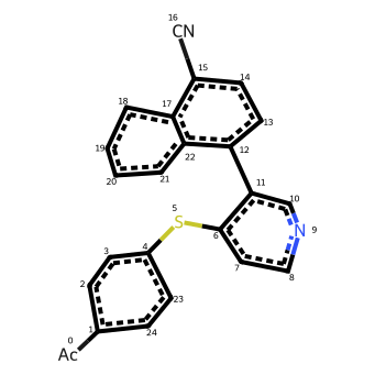 CC(=O)c1ccc(Sc2ccncc2-c2ccc(C#N)c3ccccc23)cc1